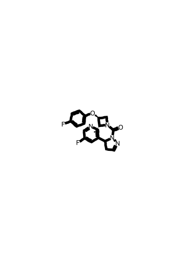 C[C@@H]1[C@@H](Oc2ccc(F)cc2)CN1C(=O)N1N=CCC1c1cncc(F)c1